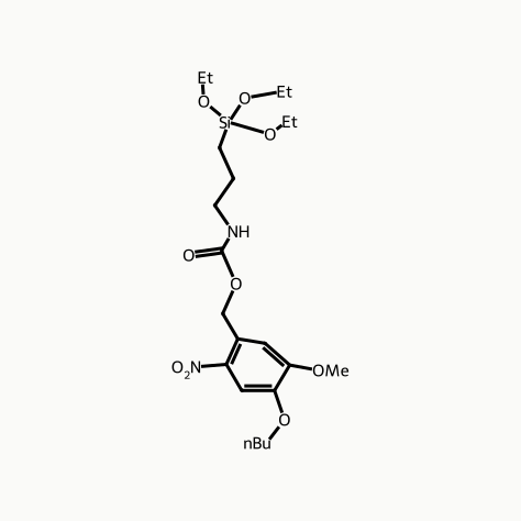 CCCCOc1cc([N+](=O)[O-])c(COC(=O)NCCC[Si](OCC)(OCC)OCC)cc1OC